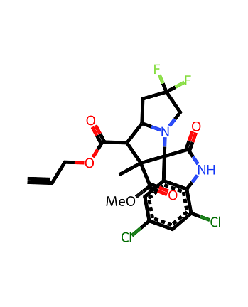 C=CCOC(=O)C1C2CC(F)(F)CN2C2(C(=O)Nc3c(Cl)cc(Cl)cc32)C1(C)C(=O)OC